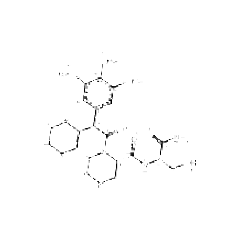 COc1cc(C(C(=O)N2CCCC[C@H]2C(=O)N[C@H](CO)C(N)=O)C2CCCCC2)cc(OC)c1OC